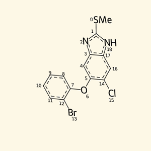 CSc1nc2cc(Oc3ccccc3Br)c(Cl)cc2[nH]1